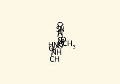 C#CCNC(=O)CNC(=O)CN(C1CCN(c2nc3ccccc3s2)CC1)S(C)(=O)=O